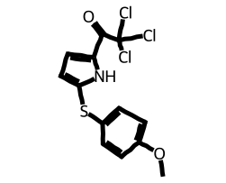 COc1ccc(Sc2ccc(C(=O)C(Cl)(Cl)Cl)[nH]2)cc1